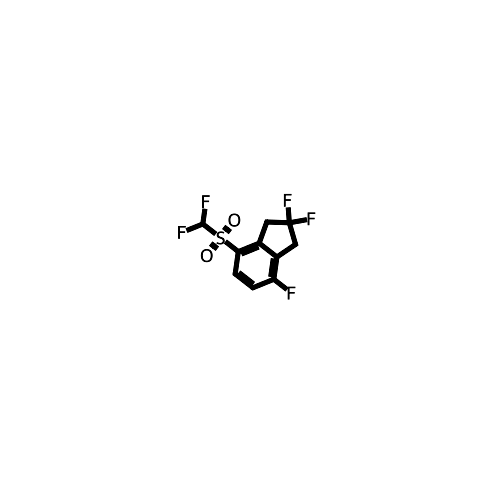 O=S(=O)(c1ccc(F)c2c1CC(F)(F)C2)C(F)F